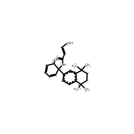 CCCCCCCCC=CC(=O)NC1(c2ccc3c(c2)C(C)(C)CCC3(C)C)C=CC=CC1O